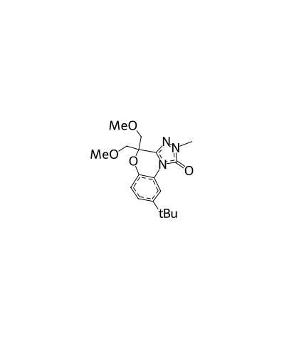 COCC1(COC)Oc2ccc(C(C)(C)C)cc2-n2c1nn(C)c2=O